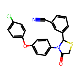 N#Cc1cccc(C2SCC(=O)N2c2ccc(Oc3ccc(Cl)cc3)cc2)c1